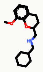 COc1cccc2c1OC(CNCC1CCCCC1)CC2